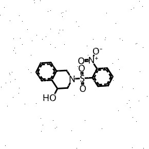 O=[N+]([O-])c1ccccc1S(=O)(=O)N1Cc2ccccc2C(O)C1